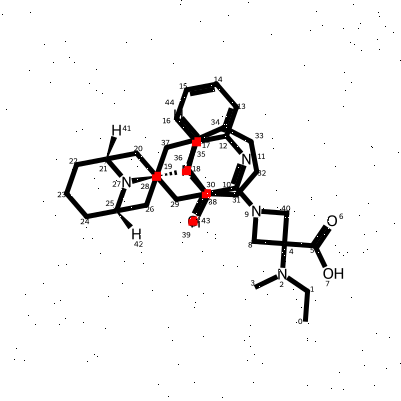 CCN(C)C1(C(=O)O)CN(c2nc3ccccc3n([C@H]3C[C@H]4CCC[C@@H](C3)N4[C@@H]3C[C@@H]4CCCC[C@@H](C4)C3)c2=O)C1